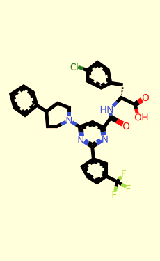 O=C(N[C@H](Cc1ccc(Cl)cc1)C(=O)O)c1cc(N2CCC(c3ccccc3)CC2)nc(-c2cccc(C(F)(F)F)c2)n1